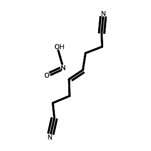 N#CCCC=CCCC#N.O=NO